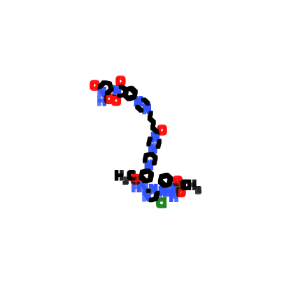 COc1cc(N2CCC(N3CCN(C(=O)CCCCN4CCN(c5ccc6c(c5)C(=O)N(C5CCC(=O)NC5=O)C6=O)CC4)CC3)CC2)ccc1Nc1ncc(Cl)c(Nc2ccccc2NS(C)(=O)=O)n1